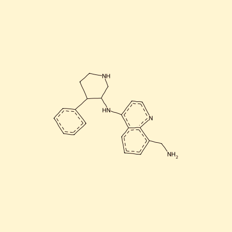 NCc1cccc2c(NC3CNCCC3c3ccccc3)ccnc12